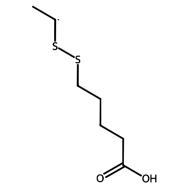 C[CH]SSCCCCC(=O)O